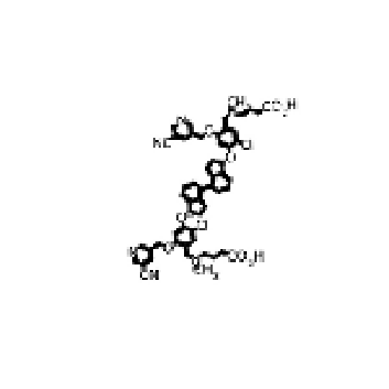 CN(CCCC(=O)O)Cc1cc(Cl)c(O[C@H]2CCc3c(-c4cccc5c4CC[C@@H]5Oc4cc(OCc5cncc(C#N)c5)c(CN(C)CCCC(=O)O)cc4Cl)cccc32)cc1OCc1cncc(C#N)c1